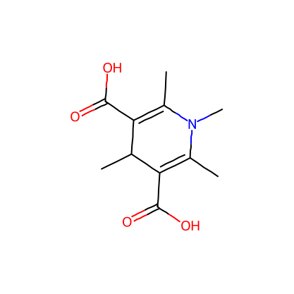 CC1=C(C(=O)O)C(C)C(C(=O)O)=C(C)N1C